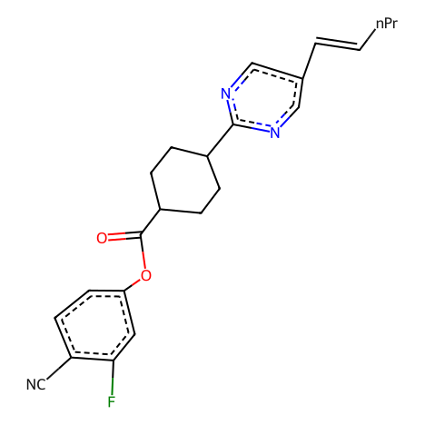 CCCC=Cc1cnc(C2CCC(C(=O)Oc3ccc(C#N)c(F)c3)CC2)nc1